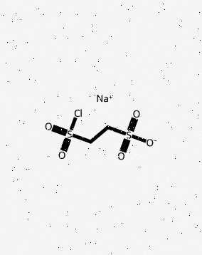 O=S(=O)([O-])CCS(=O)(=O)Cl.[Na+]